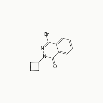 O=c1c2ccccc2c(Br)nn1C1CCC1